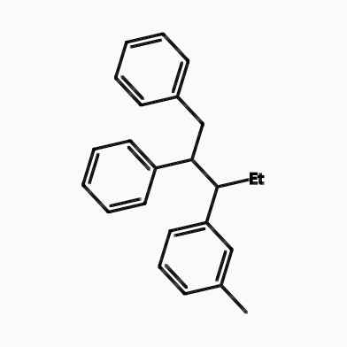 CCC(c1cccc(C)c1)C(Cc1ccccc1)c1ccccc1